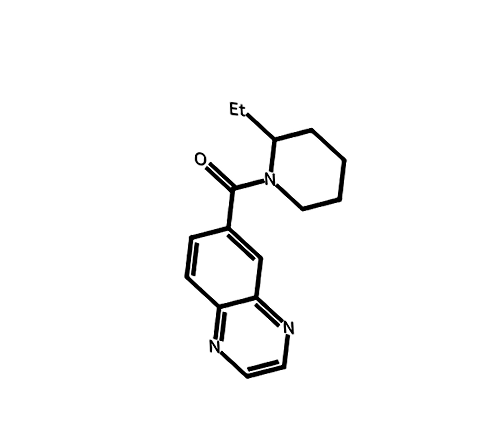 CCC1CCCCN1C(=O)c1ccc2nccnc2c1